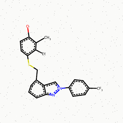 CCc1c(SCc2cccc3nn(-c4ccc(C(F)(F)F)cc4)cc23)ccc([O])c1C